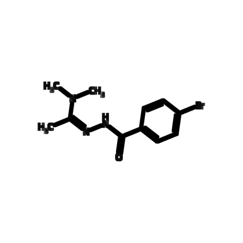 CC(=NNC(=O)c1ccc(Br)cc1)N(C)C